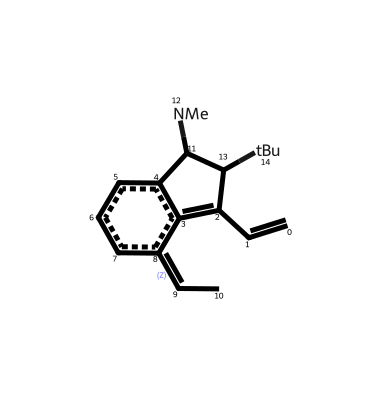 C=CC1=c2c(ccc/c2=C/C)C(NC)C1C(C)(C)C